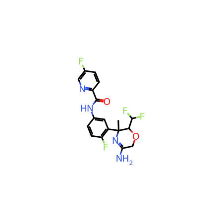 CC1(c2cc(NC(=O)c3ccc(F)cn3)ccc2F)N=C(N)COC1C(F)F